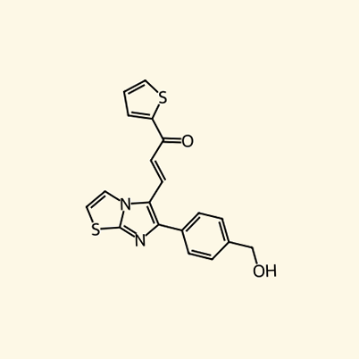 O=C(/C=C/c1c(-c2ccc(CO)cc2)nc2sccn12)c1cccs1